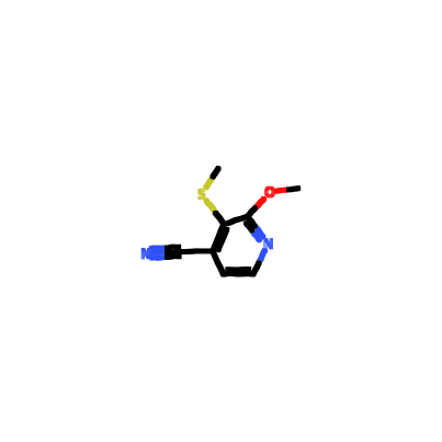 COc1nccc(C#N)c1SC